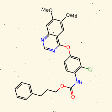 COc1cc2ncnc(Oc3ccc(NC(=O)OCCCc4ccccc4)c(Cl)c3)c2cc1OC